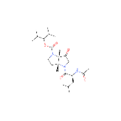 CC(=O)N[C@@H](CC(C)C)C(=O)N1CC(=O)[C@@H]2[C@H]1CCN2C(=O)OC(C(C)C)C(C)C